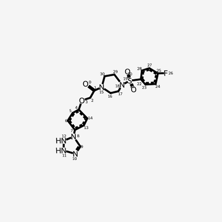 O=C(COc1ccc(N2C=NNN2)cc1)N1CCN(S(=O)(=O)c2ccc(F)cc2)CC1